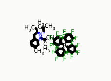 CCC(Cc1ccc(C)cc1)[NH+](CC(C)C)CC(C)C.Fc1c(F)c(F)c([B-](c2c(F)c(F)c(F)c(F)c2F)(c2c(F)c(F)c(F)c(F)c2F)c2c(F)c(F)c(F)c(F)c2F)c(F)c1F